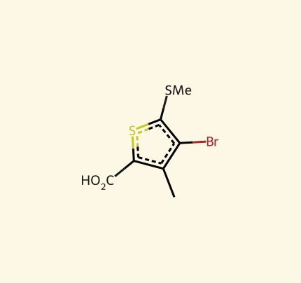 CSc1sc(C(=O)O)c(C)c1Br